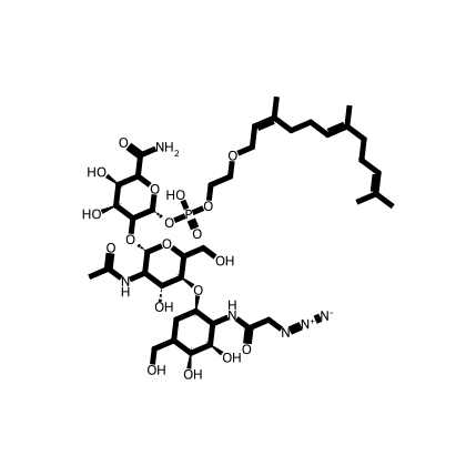 CC(=O)NC1[C@H](OC2[C@@H](OP(=O)(O)OCCOC/C=C(/C)CC/C=C(\C)CCC=C(C)C)OC(C(N)=O)[C@H](O)[C@@H]2O)OC(CO)[C@@H](O[C@@H]2CC(CO)[C@H](O)[C@H](O)C2NC(=O)CN=[N+]=[N-])[C@@H]1O